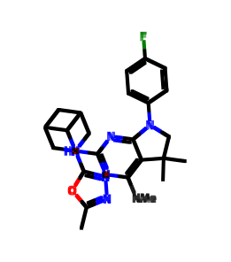 CNc1nc(NC2C3CC2CN(c2nnc(C)o2)C3)nc2c1C(C)(C)CN2c1ccc(F)cc1